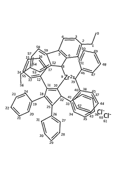 CCc1ccc2c(c1)[CH]([Zr+2]([C]1=C(c3ccccc3)C(c3ccccc3)=C(c3ccccc3)C1c1ccccc1)=[C](c1ccccc1)c1ccccc1)c1cc(CC)ccc1-2.[Cl-].[Cl-]